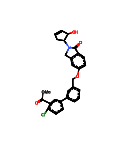 COC(=O)c1cc(-c2cccc(COc3ccc4c(c3)CN(C3CC=CC3O)C4=O)c2)ccc1Cl